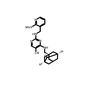 CSc1ncccc1CNc1ncc(C#N)c(NC[C@]23CC4C[C@H](C2)C(=O)[C@@H](C4)C3)n1